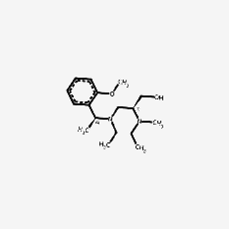 CCN(C)[C@H](CO)CN(CC)[C@@H](C)c1ccccc1OC